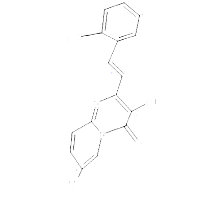 Cc1ccccc1/C=C/c1nc2ccc(C(=O)O)cn2c(=O)c1C